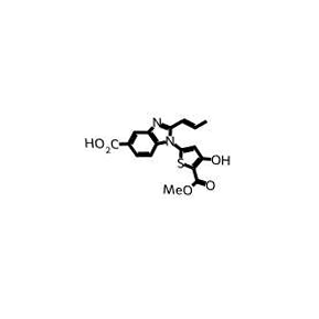 CC=Cc1nc2cc(C(=O)O)ccc2n1-c1cc(O)c(C(=O)OC)s1